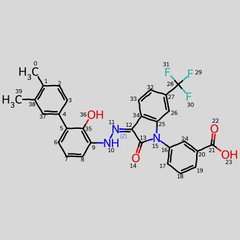 Cc1ccc(-c2cccc(N/N=C3\C(=O)N(c4cccc(C(=O)O)c4)c4cc(C(F)(F)F)ccc43)c2O)cc1C